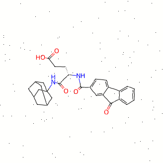 O=C(O)CC[C@H](NC(=O)c1ccc2c(c1)C(=O)c1ccccc1-2)C(=O)NC12CC3CC(CC(C3)C1)C2